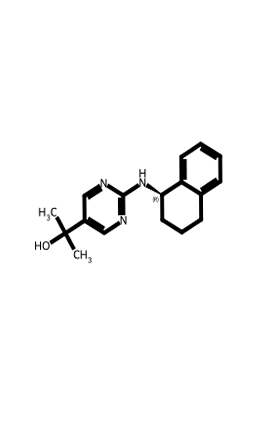 CC(C)(O)c1cnc(N[C@@H]2CCCc3ccccc32)nc1